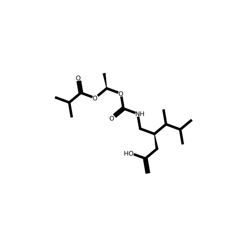 C=C(O)C[C@@H](CNC(=O)O[C@H](C)OC(=O)C(C)C)C(C)C(C)C